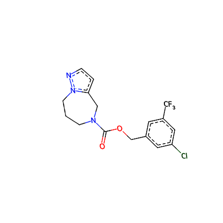 O=C(OCc1cc(Cl)cc(C(F)(F)F)c1)N1CCCn2nccc2C1